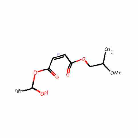 CCCC(O)OC(=O)/C=C\C(=O)OCC(C)OC